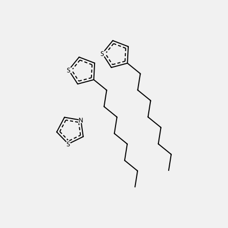 CCCCCCCCc1ccsc1.CCCCCCCCc1ccsc1.c1cscn1